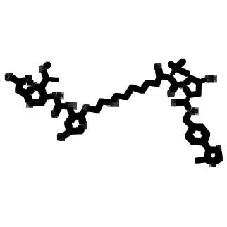 CO[C@@H](C)c1c(NC(=O)Nc2cc(Cl)cnc2OCCNCCCCCCC(=O)[C@@H](C(=O)N2C[C@@H](O)C[C@@H]2C(=O)NCc2ccc(-c3scnc3C)cc2)C(C)(C)C)cnc2cc(Cl)nn12